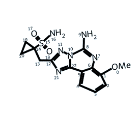 COc1cccc2c1nc(N)n1nc(CC3(S(N)(=O)=O)CC3)nc21